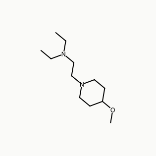 CCN(CC)CCN1CCC(OC)CC1